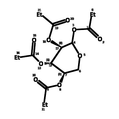 CCC(=O)OC1OC[C@@H](OC(=O)CC)[C@H](OC(=O)CC)[C@H]1OC(=O)CC